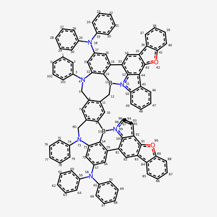 c1ccc(N2Cc3cc4c(cc3CB3c5c(cc(N(c6ccccc6)c6ccccc6)cc52)-c2cc5c6ccccc6oc5c5c6ccccc6n3c25)B2c3c(cc(N(c5ccccc5)c5ccccc5)cc3N(c3ccccc3)C4)-c3cc4c5ccccc5oc4c4c5ccccc5n2c34)cc1